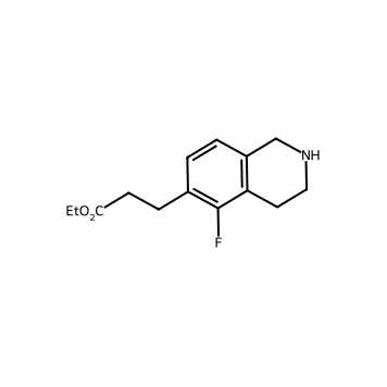 CCOC(=O)CCc1ccc2c(c1F)CCNC2